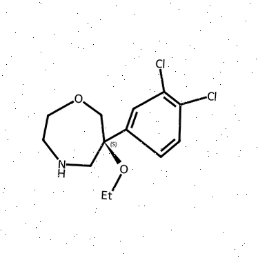 CCO[C@@]1(c2ccc(Cl)c(Cl)c2)CNCCOC1